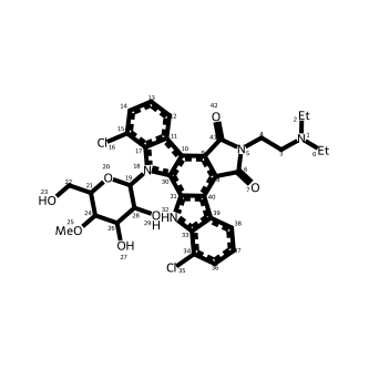 CCN(CC)CCN1C(=O)c2c(c3c4cccc(Cl)c4n(C4OC(CO)C(OC)C(O)C4O)c3c3[nH]c4c(Cl)cccc4c23)C1=O